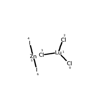 [Cl][Lu]([Cl])[Cl].[I][Zn][I]